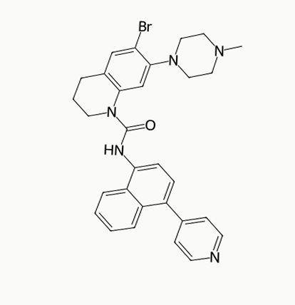 CN1CCN(c2cc3c(cc2Br)CCCN3C(=O)Nc2ccc(-c3ccncc3)c3ccccc23)CC1